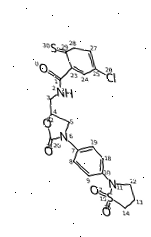 O=C(NCC1CN(c2ccc(N3CCCS3(=O)=O)cc2)C(=O)O1)C1=CC(Cl)=CCC1=S